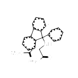 COC(=O)C[C@H](NC1(c2ccccc2)c2ccccc2-c2ccccc21)C(=O)OCC(C)C